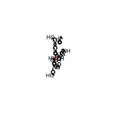 CC(C)Oc1ccccc1[C@@H]1CC[C@@](C)(O)CN1C1CC2(CCN(c3ccc(C(=O)NS(=O)(=O)c4ccc(NCC5CCC(C)(O)CC5)c([N+](=O)[O-])c4)c(N4c5cc6cc[nH]c6nc5O[C@H]5COCC[C@@H]54)c3)CC2)C1